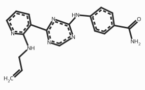 C=CCNc1ncccc1-c1ncnc(Nc2ccc(C(N)=O)cc2)n1